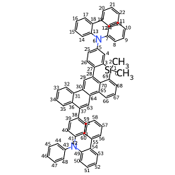 C[Si]1(C)c2cc(N(c3ccccc3)c3ccccc3-c3ccccc3)ccc2-c2cc3c4ccccc4c(-c4ccc(N(c5ccccc5)c5ccccc5-c5ccccc5)cc4)cc3c3cccc1c23